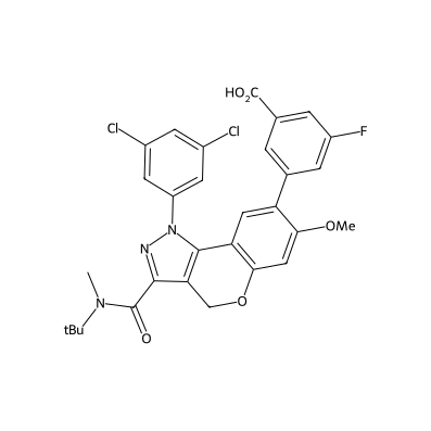 COc1cc2c(cc1-c1cc(F)cc(C(=O)O)c1)-c1c(c(C(=O)N(C)C(C)(C)C)nn1-c1cc(Cl)cc(Cl)c1)CO2